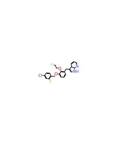 FCCOc1c(CC2=CNC3N=CC=CC23)cccc1OCc1ccc(Cl)cc1F